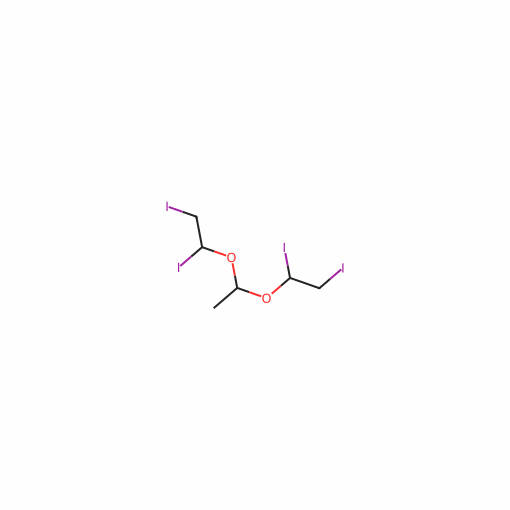 CC(OC(I)CI)OC(I)CI